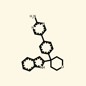 Nc1ncc(-c2ccc(C3(c4cc5ccccc5[nH]4)CCOCC3)cc2)cn1